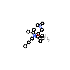 CC1(C)c2ccccc2-c2cc(N(c3ccc(-c4ccc(C5CCCCC5)cc4)cc3)c3cc(C4CCCCC4)c4ccccc4c3-c3cccc(-c4cccc(-n5c6ccccc6c6ccccc65)c4)c3)ccc21